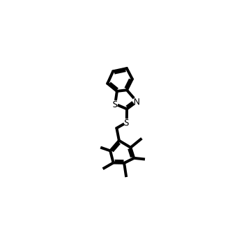 Cc1c(C)c(C)c(CSc2nc3ccccc3s2)c(C)c1C